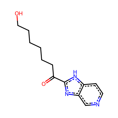 O=C(CCCCCCO)c1nc2cnccc2[nH]1